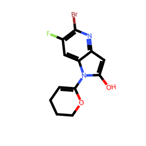 Oc1cc2nc(Br)c(F)cc2n1C1=CCCCO1